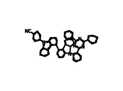 N#Cc1ccc(-n2c3ccccc3c3c(-c4cccc5c4C4=CC=CCC4N5c4ccccc4-c4nc(-c5ccccc5)nc(-c5ccccc5)n4)cccc32)cc1